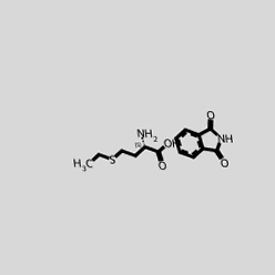 CCSCC[C@H](N)C(=O)O.O=C1NC(=O)c2ccccc21